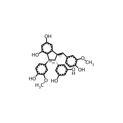 COc1cc(/C=C2/c3cc(O)cc(O)c3[C@H](c3ccc(O)c(OC)c3)[C@H]2c2cc(O)cc(O)c2)ccc1O